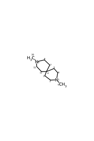 CN1CCC2(CC1)CCN(C)CC2